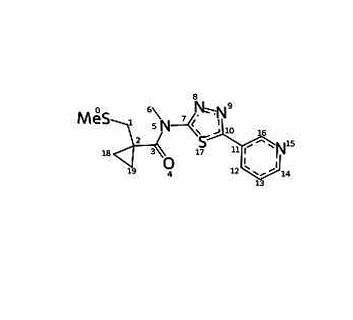 CSCC1(C(=O)N(C)c2nnc(-c3cccnc3)s2)CC1